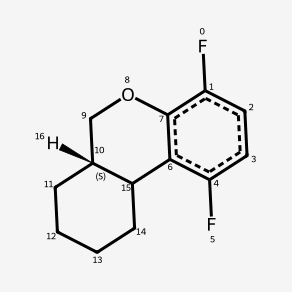 Fc1ccc(F)c2c1OC[C@H]1CCCCC21